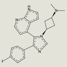 CN(C)[C@H]1C[C@@H](n2cnc(-c3ccc(F)cc3)c2-c2ccnc3[nH]ccc23)C1